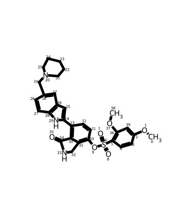 COc1ccc(S(=O)(=O)Oc2ccc(-c3cc4cc(CN5CCCCC5)ccc4[nH]3)c3c2CNC3=O)c(OC)c1